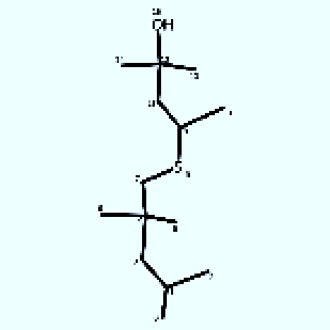 CC(C)CC(C)(C)CSC(C)CC(C)(C)O